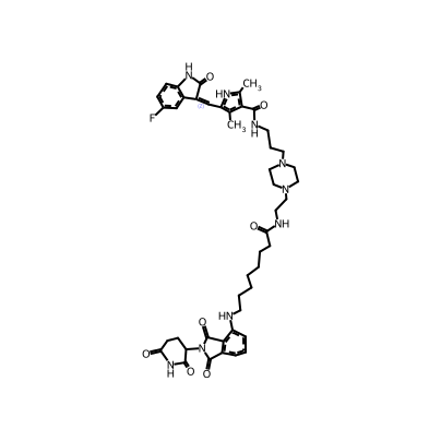 Cc1[nH]c(/C=C2\C(=O)Nc3ccc(F)cc32)c(C)c1C(=O)NCCCN1CCN(CCNC(=O)CCCCCCCNc2cccc3c2C(=O)N(C2CCC(=O)NC2=O)C3=O)CC1